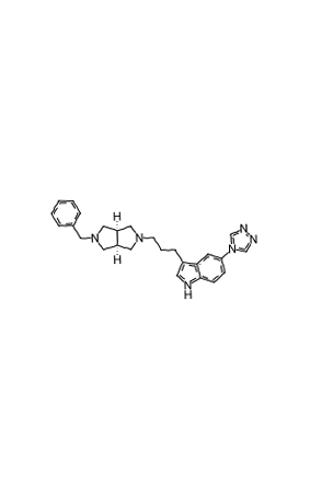 c1ccc(CN2C[C@H]3CN(CCCc4c[nH]c5ccc(-n6cnnc6)cc45)C[C@H]3C2)cc1